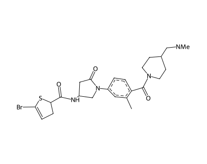 CNCC1CCN(C(=O)c2ccc(N3CC(NC(=O)C4CC=C(Br)S4)CC3=O)cc2C)CC1